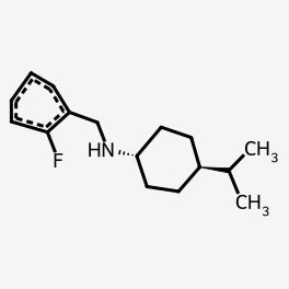 CC(C)[C@H]1CC[C@H](NCc2ccccc2F)CC1